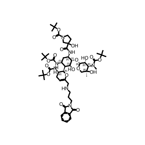 CN(C(=O)OC(C)(C)C)[C@@H]1[C@@H](O)[C@@H](O[C@H]2[C@H](NC(=O)C3(O)CCN(C(=O)OC(C)(C)C)C3)C[C@H](NC(=O)OC(C)(C)C)C([C@H]3OC(CNCCCN4C(=O)c5ccccc5C4=O)=CC[C@H]3NC(=O)OC(C)(C)C)[C@@H]2O)OC[C@]1(C)O